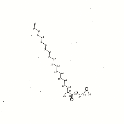 CCCCCCCCCCCCCCCCCCC=C(C)C(=O)OCC1CO1